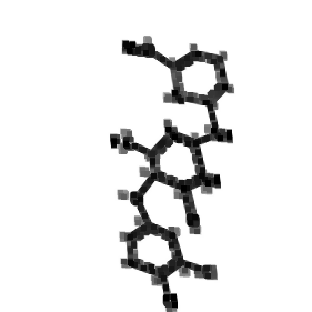 COc1cccc(Nc2nc(C(F)(F)F)c(Oc3ccc(Cl)c(Cl)c3)c(=O)[nH]2)n1